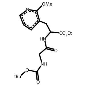 CCOC(=O)C(Cc1cccnc1OC)NC(=O)CNC(=O)OC(C)(C)C